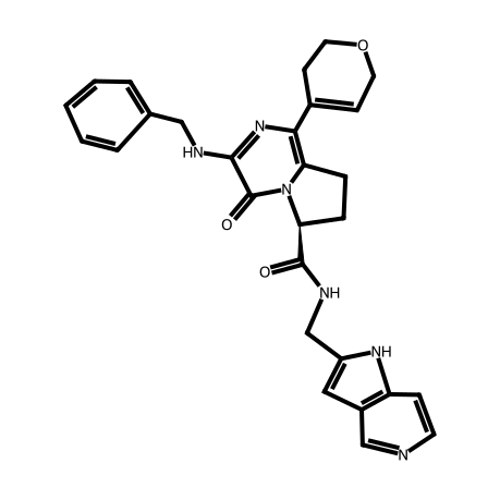 O=C(NCc1cc2cnccc2[nH]1)[C@@H]1CCc2c(C3=CCOCC3)nc(NCc3ccccc3)c(=O)n21